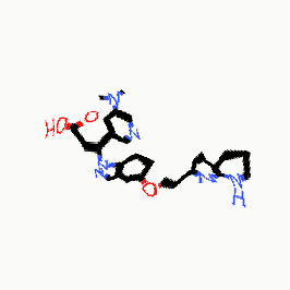 CN(C)c1cncc(C(CC(=O)O)n2ncc3cc(OCCc4ccc5c(n4)NCCC5)ccc32)c1